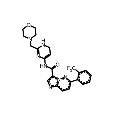 O=C(NC1=CCNC(CN2CCOCC2)=N1)c1cnc2ccc(-c3ccccc3C(F)(F)F)nn12